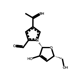 B=C(C)c1cc(C=O)n([C@@H]2O[C@H](CO)C=C2O)c1